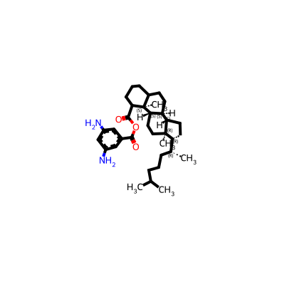 CC(C)CCC[C@@H](C)[C@H]1CC[C@H]2[C@@H]3CCC4CCCC(C(=O)OC(=O)c5cc(N)cc(N)c5)[C@]4(C)[C@H]3CC[C@]12C